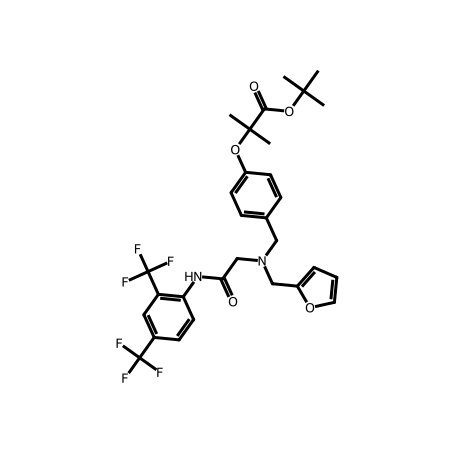 CC(C)(C)OC(=O)C(C)(C)Oc1ccc(CN(CC(=O)Nc2ccc(C(F)(F)F)cc2C(F)(F)F)Cc2ccco2)cc1